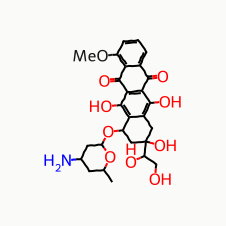 COc1cccc2c1C(=O)c1c(O)c3c(c(O)c1C2=O)CC(O)(C(O)CO)CC3OC1CC(N)CC(C)O1